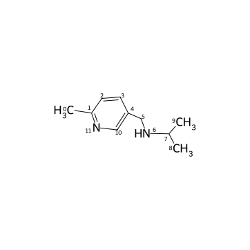 Cc1ccc(CNC(C)C)cn1